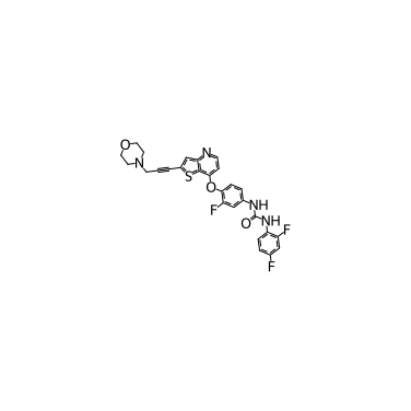 O=C(Nc1ccc(Oc2ccnc3cc(C#CCN4CCOCC4)sc23)c(F)c1)Nc1ccc(F)cc1F